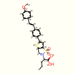 CCCC(C(=O)O)N1Cc2sc(-c3ccc(/C=C/c4ccc(OC)cc4)cc3)cc2S1(=O)=O